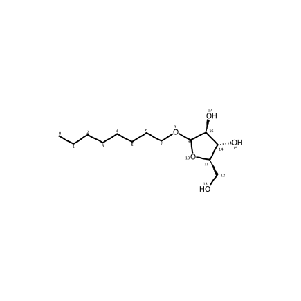 CCCCCCCCOC1O[C@H](CO)[C@@H](O)[C@@H]1O